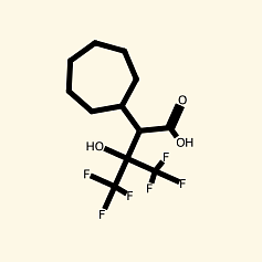 O=C(O)C(C1CCCCCC1)C(O)(C(F)(F)F)C(F)(F)F